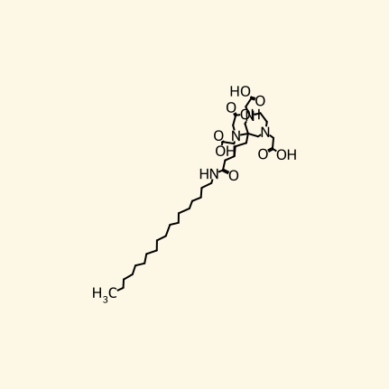 CCCCCCCCCCCCCCCCCCNC(=O)CCCCC1(N(CC(=O)O)CC(=O)O)CN(CC(=O)O)CCN(CC(=O)O)C1